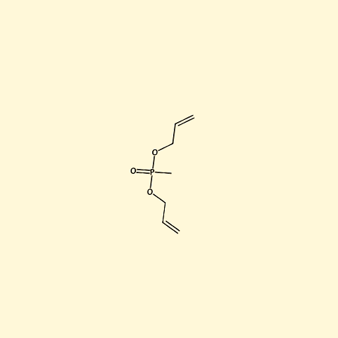 C=CCOP(C)(=O)OCC=C